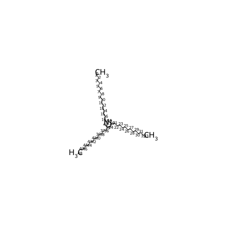 CCCCCCCCCCCCCCCCCC[n+]1cc(CCCCCCCCCCCCC)cc(CCCCCCCCCCCCC)c1